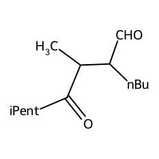 CCCCC(C=O)C(C)C(=O)C(C)CCC